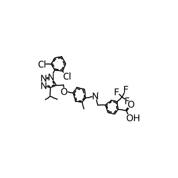 Cc1cc(OCc2c(C(C)C)nnn2-c2c(Cl)cccc2Cl)ccc1N(C)Cc1ccc(C(=O)O)c(C(F)(F)F)c1